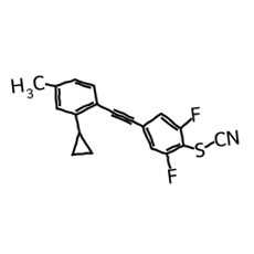 Cc1ccc(C#Cc2cc(F)c(SC#N)c(F)c2)c(C2CC2)c1